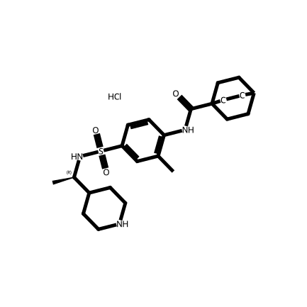 Cc1cc(S(=O)(=O)N[C@H](C)C2CCNCC2)ccc1NC(=O)C12CCC(CC1)CC2.Cl